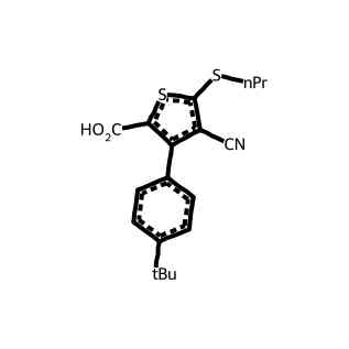 CCCSc1sc(C(=O)O)c(-c2ccc(C(C)(C)C)cc2)c1C#N